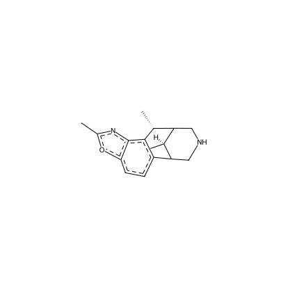 Cc1nc2c3c(ccc2o1)C1CNCC([C@@H]1C)[C@H]3C